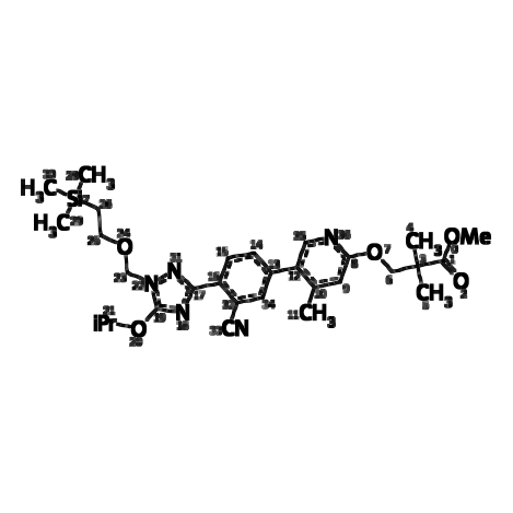 COC(=O)C(C)(C)COc1cc(C)c(-c2ccc(-c3nc(OC(C)C)n(COCC[Si](C)(C)C)n3)c(C#N)c2)cn1